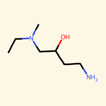 CCN(C)CC(O)CCN